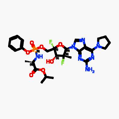 CC(C)OC(=O)[C@H](C)N[P@@](=O)(OC[C@@]1(F)O[C@@H](n2cnc3c(N4CCCC4)nc(N)nc32)[C@](C)(F)[C@@H]1O)Oc1ccccc1